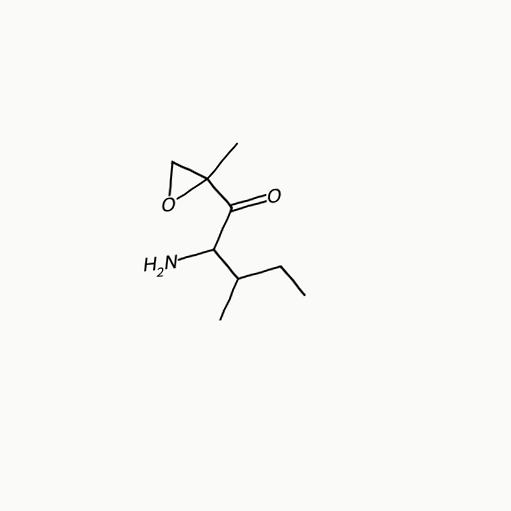 CCC(C)C(N)C(=O)C1(C)CO1